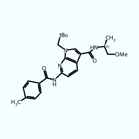 COC[C@H](C)NC(=O)c1cn(CC(C)(C)C)c2nc(NC(=O)c3ccc(C)cc3)ccc12